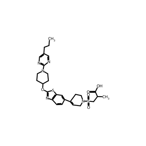 CCCc1cnc(N2CCC(Oc3nc4ccc(C5=CCN(S(=O)(=O)CC(C)C(=O)O)CC5)cc4s3)CC2)nc1